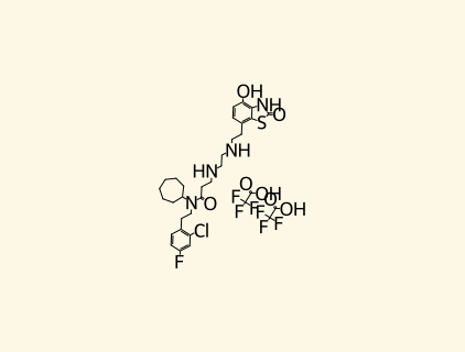 O=C(CCNCCNCCc1ccc(O)c2[nH]c(=O)sc12)N(CCc1ccc(F)cc1Cl)C1CCCCCC1.O=C(O)C(F)(F)F.O=C(O)C(F)(F)F